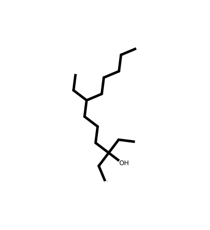 [CH2]CC(O)(CC)CCCC(CC)CCCCC